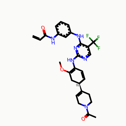 C=CC(=O)Nc1cccc(Nc2nc(NC3=C(OC)C[C@H](C4=CCN(C(C)=O)CC4)C=C3)ncc2C(F)(F)F)c1